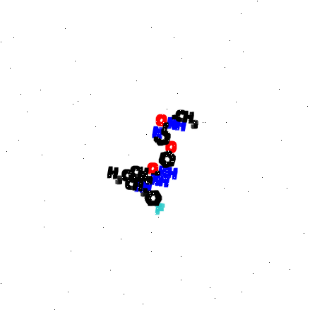 CCNC(=O)c1cc(Oc2ccc(NC(=O)Nc3cc(C(C)(C)C)nn3-c3ccc(F)cc3)cc2)ccn1